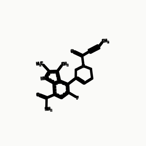 CC#CC(=O)N1CCC=C(c2c(F)cc(C(N)=O)c3[nH]c(C)c(C)c23)C1